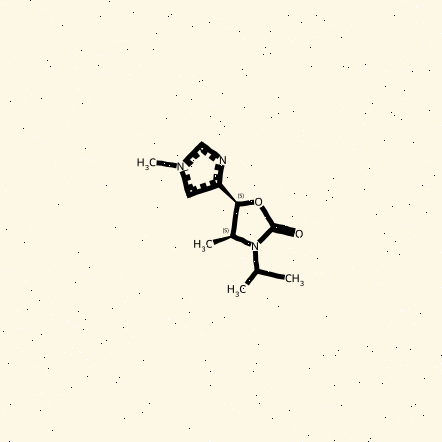 CC(C)N1C(=O)O[C@H](c2cn(C)cn2)[C@@H]1C